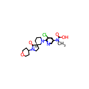 CN(C(=O)O)c1cnc(N2CCC[C@]3(CCN(C4CCOCC4)C3=O)C2)c(Cl)c1